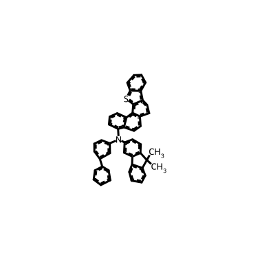 CC1(C)c2ccccc2-c2cc(N(c3cccc(-c4ccccc4)c3)c3cccc4c3ccc3ccc5c6ccccc6sc5c34)ccc21